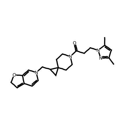 Cc1cc(C)n(CCC(=O)N2CCC3(CC2)CC3CN2C=CC3=CCOC3=C2)n1